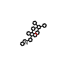 c1ccc(-c2cc(-c3ccccc3)c(-c3cccc(-c4c5ccccc5c(-c5cccc(-c6ccc7ccccc7n6)c5)c5ccccc45)c3)c(-c3ccccc3)c2)cc1